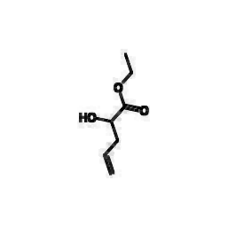 C=CCC(O)C(=O)OCC